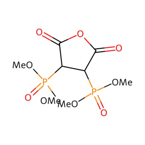 COP(=O)(OC)C1C(=O)OC(=O)C1P(=O)(OC)OC